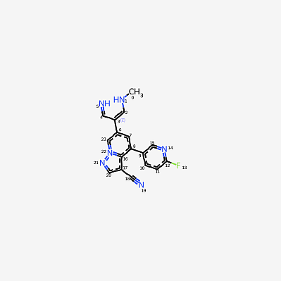 CN/C=C(\C=N)c1cc(-c2ccc(F)nc2)c2c(C#N)cnn2c1